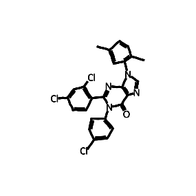 Cc1ccc(C)c(-n2cnc3c(=O)n(-c4ccc(Cl)cc4)c(-c4ccc(Cl)cc4Cl)nc32)c1